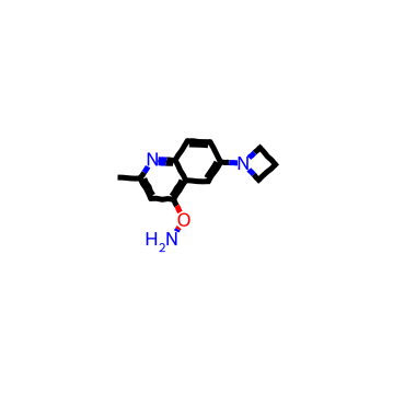 Cc1cc(ON)c2cc(N3CCC3)ccc2n1